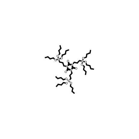 CCCCO[Si](CCCn1c(=O)n(CCC[Si](OCCCC)(OCCCC)OCCCC)c(=O)n(CCC[Si](OCCCC)(OCCCC)OCCCC)c1=O)(OCCCC)OCCCC